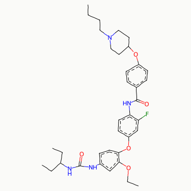 CCCCN1CCC(Oc2ccc(C(=O)Nc3ccc(Oc4ccc(NC(=O)NC(CC)CC)cc4OCC)cc3F)cc2)CC1